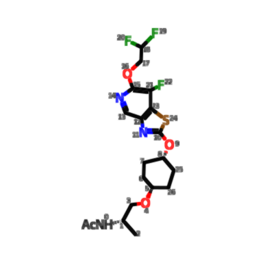 CC(=O)N[C@@H](C)CO[C@H]1CC[C@H](Oc2nc3cnc(OCC(F)F)c(F)c3s2)CC1